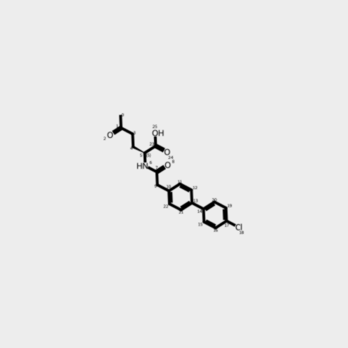 CC(=O)CC[C@H](NC(=O)Cc1ccc(-c2ccc(Cl)cc2)cc1)C(=O)O